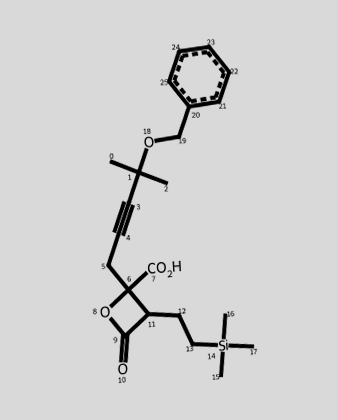 CC(C)(C#CCC1(C(=O)O)OC(=O)C1CC[Si](C)(C)C)OCc1ccccc1